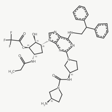 CCC(=O)N[C@H]1C[C@@H](n2cnc3c(NCC(c4ccccc4)c4ccccc4)nc(N4CC[C@@H](NC(=O)N5CC[C@@H](N)C5)C4)nc32)[C@H](O)[C@@H]1OC(=O)C(F)(F)F